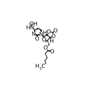 CCCCCC(=O)OC[C@H]1O[C@@H](n2ccc(NO)nc2=O)[C@@H]2OC(=O)O[C@@H]21